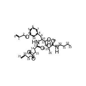 C=CCOc1cccc(CC(NC(=O)CCS(=O)(=O)CC=C)C(O)CC(C)C(=O)NCCCC)c1